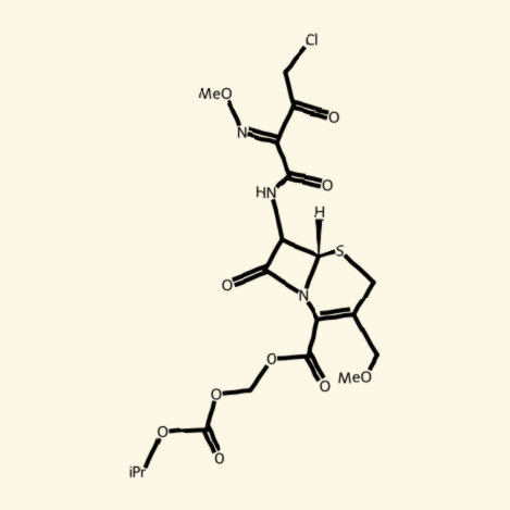 COCC1=C(C(=O)OCOC(=O)OC(C)C)N2C(=O)C(NC(=O)C(=NOC)C(=O)CCl)[C@@H]2SC1